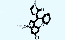 O=C1NCCC1=C(c1ccccc1)c1cn(C(=O)O)c2cc(Cl)cc(Cl)c12